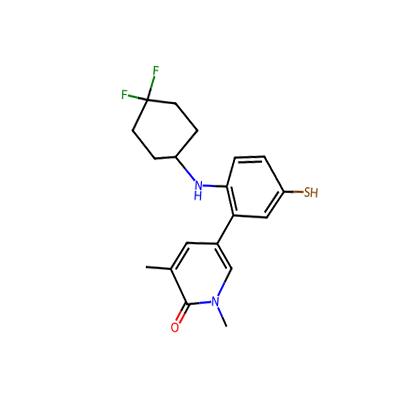 Cc1cc(-c2cc(S)ccc2NC2CCC(F)(F)CC2)cn(C)c1=O